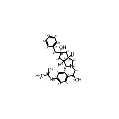 CC(=O)Nc1ccc(C(C)CN2C[C@@H]3C[C@@](O)(Cc4ccccc4)C[C@@H]3C2)cc1